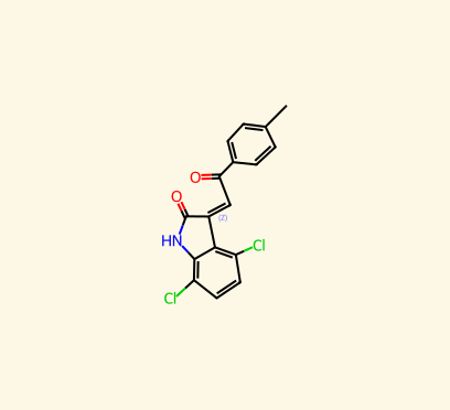 Cc1ccc(C(=O)/C=C2\C(=O)Nc3c(Cl)ccc(Cl)c32)cc1